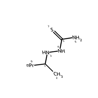 CCCC(C)NNC(N)=S